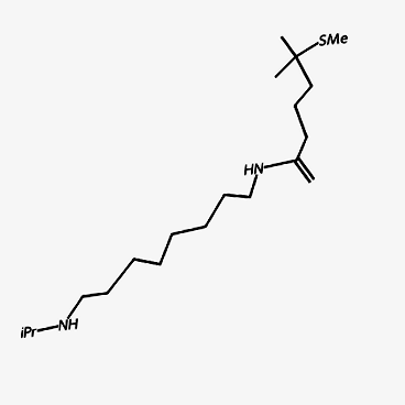 C=C(CCCC(C)(C)SC)NCCCCCCCCNC(C)C